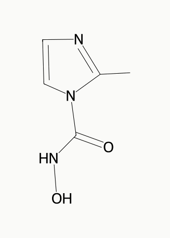 Cc1nccn1C(=O)NO